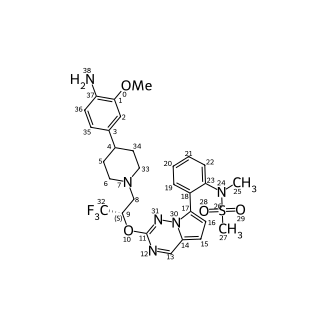 COc1cc(C2CCN(C[C@H](Oc3ncc4ccc(-c5ccccc5N(C)S(C)(=O)=O)n4n3)C(F)(F)F)CC2)ccc1N